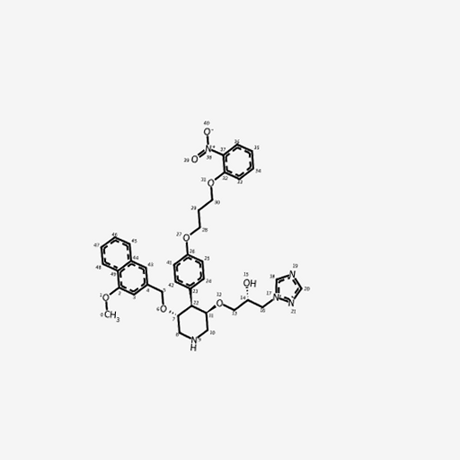 COc1cc(CO[C@H]2CNC[C@H](OC[C@H](O)Cn3cncn3)[C@@H]2c2ccc(OCCCOc3ccccc3[N+](=O)[O-])cc2)cc2ccccc12